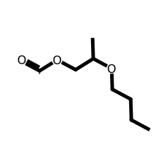 CCCCOC(C)CO[C]=O